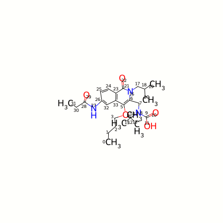 CCCCOc1c(CN(C(=O)O)C(C)(C)C)n(CC(C)C)c(=O)c2ccc(NC(=O)CC)cc12